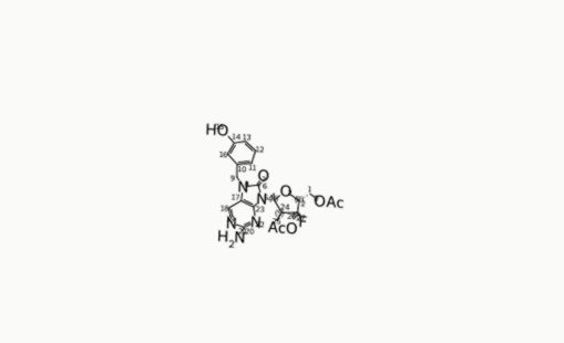 CC(=O)OC[C@H]1O[C@@H](n2c(=O)n(Cc3cccc(O)c3)c3cnc(N)nc32)[C@H](OC(C)=O)[C@@H]1F